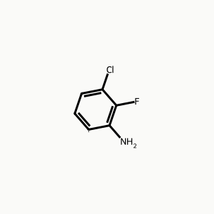 Nc1[c]ccc(Cl)c1F